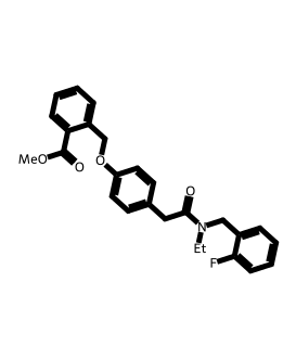 CCN(Cc1ccccc1F)C(=O)Cc1ccc(OCc2ccccc2C(=O)OC)cc1